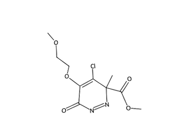 COCCOC1=C(Cl)C(C)(C(=O)OC)N=NC1=O